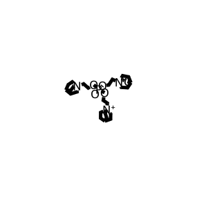 O=P(OCC[N+]12CCC(CC1)CC2)(OCC[N+]12CCC(CC1)CC2)OCC[N+]12CCC(CC1)CC2